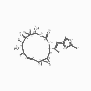 C/C(=C\c1csc(C)n1)[C@@H]1CC2O[C@]2(C)C/C=C/C(C)[C@H](O)[C@@H](C)C(=O)C(C)(C)[C@@H](O)CC(=O)O1